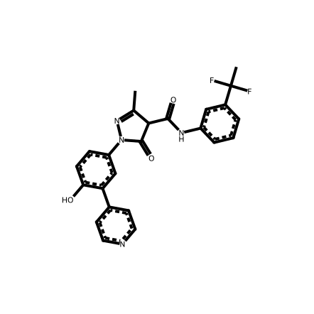 CC1=NN(c2ccc(O)c(-c3ccncc3)c2)C(=O)C1C(=O)Nc1cccc(C(C)(F)F)c1